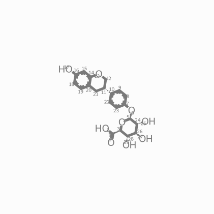 O=C(O)[C@H]1O[C@@H](Oc2ccc([C@H]3COc4cc(O)ccc4C3)cc2)[C@H](O)[C@@H](O)[C@@H]1O